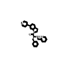 O=C([C@H](Cc1ccccc1)NCc1ccccn1)N1CCc2ccc(-c3ccncc3)cc21